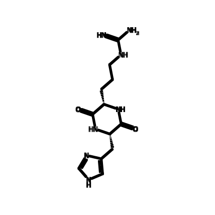 N=C(N)NCCC[C@@H]1NC(=O)[C@H](Cc2c[nH]cn2)NC1=O